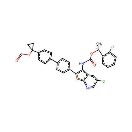 C[C@@H](OC(=O)Nc1c(-c2ccc(-c3ccc(C4(OC=O)CC4)cc3)cc2)sc2ncc(Cl)cc12)c1ccccc1Cl